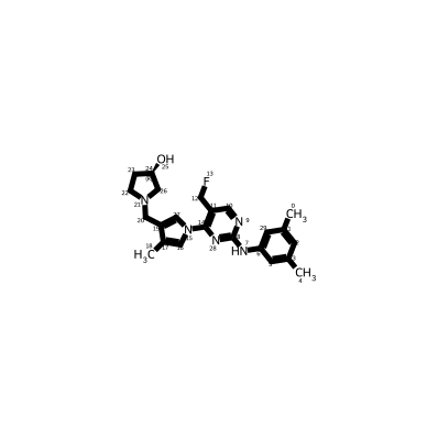 Cc1cc(C)cc(Nc2ncc(CF)c(-n3cc(C)c(CN4CC[C@@H](O)C4)c3)n2)c1